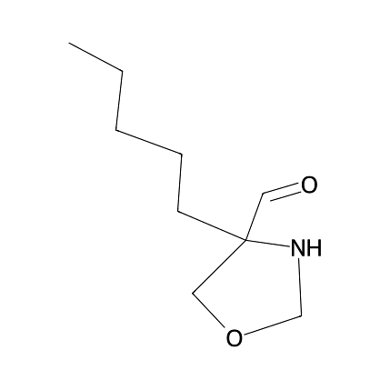 CCCCCC1(C=O)COCN1